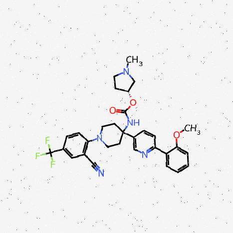 COc1ccccc1-c1ccc(C2(NC(=O)O[C@@H]3CCN(C)C3)CCN(c3ccc(C(F)(F)F)cc3C#N)CC2)cn1